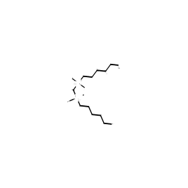 CCCCCC[N+](C)(C)C[N+](C)(C)CCCCCC